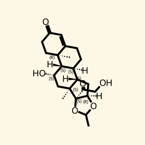 CC1O[C@@H]2C[C@H]3[C@@H]4CCC5=CC(=O)CC[C@]5(C)[C@H]4[C@@H](O)C[C@]3(C)[C@]2(C(=O)CO)O1